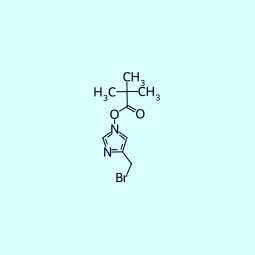 CC(C)(C)C(=O)On1cnc(CBr)c1